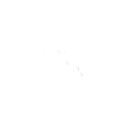 CC1CCCC(C(=O)N2CCN(c3cccnn3)CC2)C1